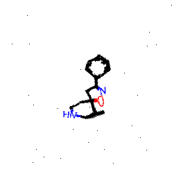 CC1CNCCC12CC(c1ccccc1)=NO2